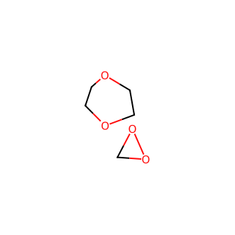 C1COCCO1.C1OO1